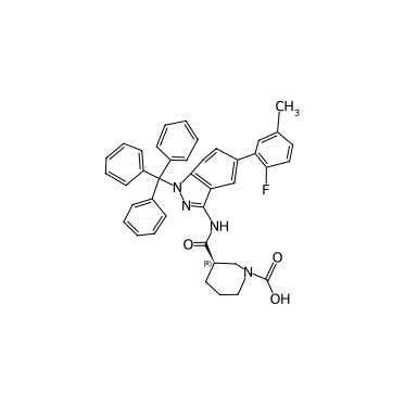 Cc1ccc(F)c(-c2ccc3c(c2)c(NC(=O)[C@@H]2CCCN(C(=O)O)C2)nn3C(c2ccccc2)(c2ccccc2)c2ccccc2)c1